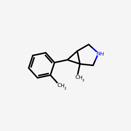 Cc1ccccc1C1C2CNCC21C